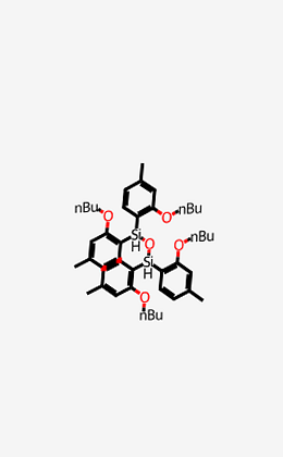 CCCCOc1cc(C)ccc1[SiH](O[SiH](c1ccc(C)cc1OCCCC)c1ccc(C)cc1OCCCC)c1ccc(C)cc1OCCCC